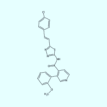 COc1ccccc1-c1cnccc1C(=O)Nc1nnc(/C=C/c2ccc(Cl)cc2)s1